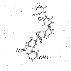 COc1cccc(-c2cc(C(=O)Nc3cccc(-c4cccc(OC5CCN(C)CC5)c4)c3)ccc2OC)c1